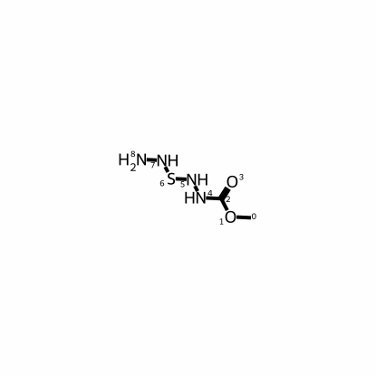 COC(=O)NNSNN